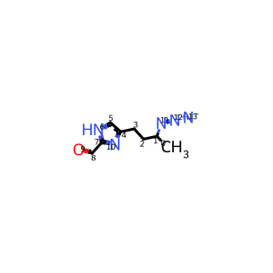 CC(CCc1c[nH]c(C=O)n1)N=[N+]=[N-]